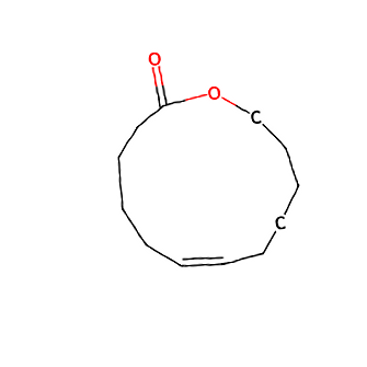 O=C1CCCCC=CCCCCCO1